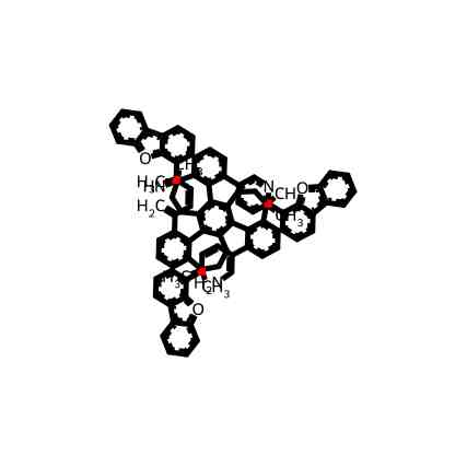 C=C(/C=C\C(=N)c1cccc2c1oc1ccccc12)c1cccc2c1-c1c(c3c(c4c1CCC(C)(C)c1cccc(-c5ccc(-c6cccc7c6oc6ccccc67)nc5)c1-4)CCC(C)(C)c1cccc(C(/C=C\Cc4cccc5c4oc4ccccc45)=C/N)c1-3)CCC2(C)C